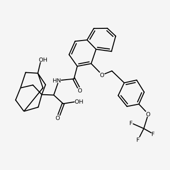 O=C(NC(C(=O)O)C12CC3CC(CC(O)(C3)C1)C2)c1ccc2ccccc2c1OCc1ccc(OC(F)(F)F)cc1